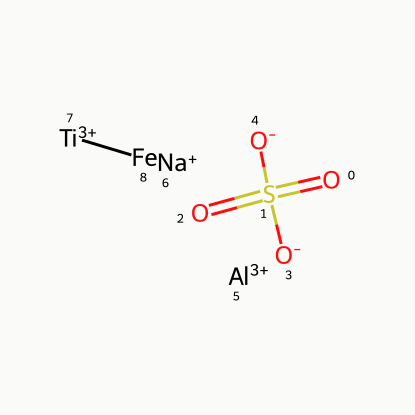 O=S(=O)([O-])[O-].[Al+3].[Na+].[Ti+3][Fe]